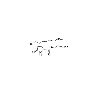 CCCCCCCCCCCCCCCCO.CCCCCCCCCCCCOC(=O)C1CCC(=O)N1